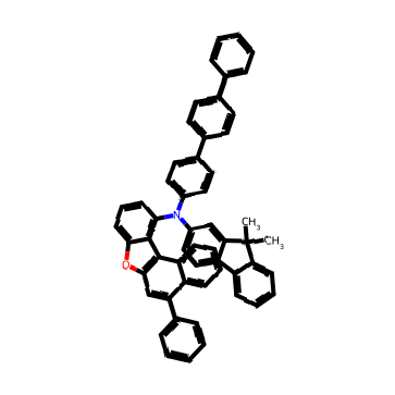 CC1(C)c2ccccc2-c2ccc(N(c3ccc(-c4ccc(-c5ccccc5)cc4)cc3)c3cccc4oc5cc(-c6ccccc6)c6ccccc6c5c34)cc21